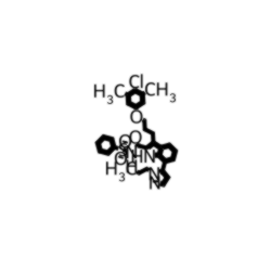 CCCn1nccc1-c1cccc2c(CCCOc3cc(C)c(Cl)c(C)c3)c(C(=O)NS(=O)(=O)c3ccccc3)[nH]c12